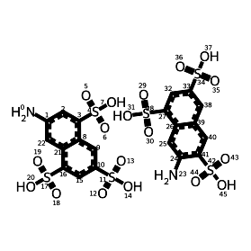 Nc1cc(S(=O)(=O)O)c2cc(S(=O)(=O)O)cc(S(=O)(=O)O)c2c1.Nc1cc2c(S(=O)(=O)O)cc(S(=O)(=O)O)cc2cc1S(=O)(=O)O